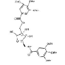 COc1cc(C(=O)NC[C@H]2OC(O)[C@@](O)(CNC(=O)c3cc(OC)c(OC)c(OC)c3)[C@@H]2O)cc(OC)c1OC